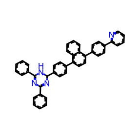 c1ccc(C2=NC(c3ccc(-c4ccc(-c5ccc(-c6ccccn6)cc5)c5ccccc45)cc3)NC(c3ccccc3)=N2)cc1